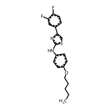 CCCCCOc1ccc(Nc2nc(-c3ccc(F)c(F)c3)cs2)cc1